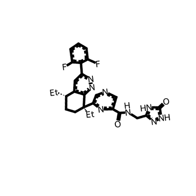 CC[C@H]1CC[C@](CC)(c2cncc(C(=O)NCc3n[nH]c(=O)[nH]3)n2)c2nnc(-c3c(F)cccc3F)cc21